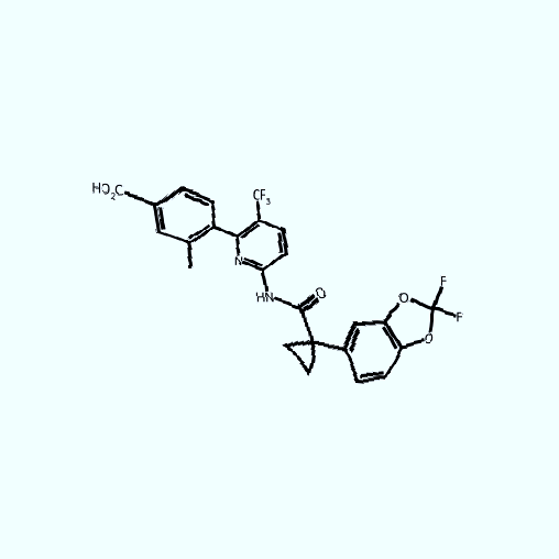 Cc1cc(C(=O)O)ccc1-c1nc(NC(=O)C2(c3ccc4c(c3)OC(F)(F)O4)CC2)ccc1C(F)(F)F